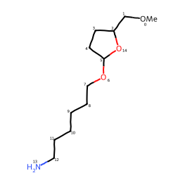 COCC1CCC(OCCCCCCN)O1